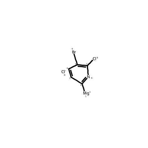 [Cl-].[Mg+][c]1ccc(Br)c(Cl)n1